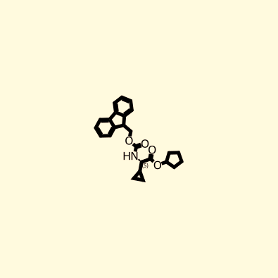 O=C(N[C@H](C(=O)OC1CCCC1)C1CC1)OCC1c2ccccc2-c2ccccc21